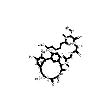 CCCCCCCCCCCCCCCC(=O)N(C)[C@H](CO)C(=O)N[C@H](C)C(=O)NCC(=O)N(C)[C@@H]1C(=O)N[C@@H](C)C(=O)N[C@H](C(=O)O)Cc2cc(N)c(O)c(c2)-c2cc1ccc2O